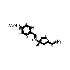 C=CC(C)(CCCC(C)C)N=Cc1ccc(OC)cc1